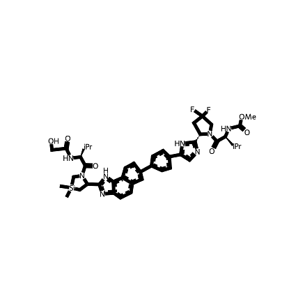 COC(=O)N[C@H](C(=O)N1CC(F)(F)C[C@H]1c1ncc(-c2ccc(-c3ccc4c(ccc5nc(C6C[Si](C)(C)CN6C(=O)[C@@H](NC(=O)CO)C(C)C)[nH]c54)c3)cc2)[nH]1)C(C)C